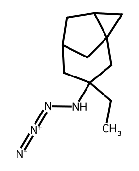 CCC1(NN=[N+]=[N-])CC2CC3CC3(C2)C1